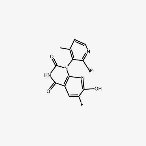 Cc1ccnc(C(C)C)c1-n1c(=O)[nH]c(=O)c2cc(F)c(O)nc21